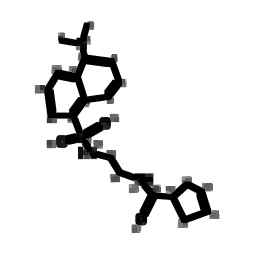 CN(C)c1cccc2c(S(=O)(=O)NCCNC(=O)C3CC=CC3)cccc12